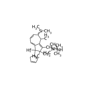 CC1=C2C(=CC=CC(=[Si](C)C)C2C)[C]([Hf])(C2=CC=CC2)C1(C)C.CNC.CNC